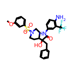 COc1cccc(S(=O)(=O)N2CCC(C(O)(Cc3ccccc3)C(=O)Nc3ccc(N)c(C(F)(F)F)c3)CC2)c1